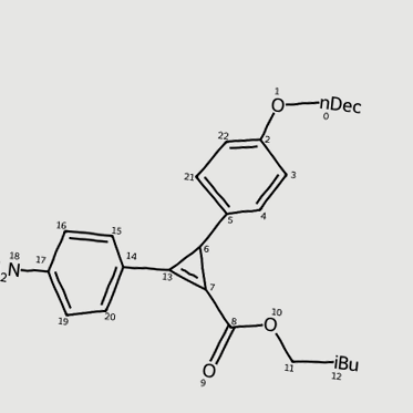 CCCCCCCCCCOc1ccc(C2C(C(=O)OCC(C)CC)=C2c2ccc(N)cc2)cc1